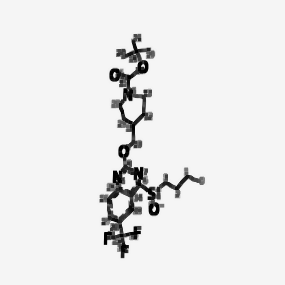 CCCC[S+]([O-])c1nc(OCC2CCN(C(=O)OC(C)(C)C)CC2)nc2ccc(C(F)(F)F)cc12